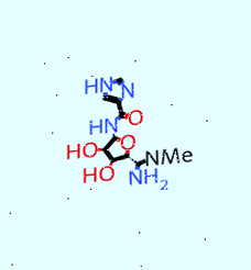 CNC(N)[C@H]1O[C@@H](NC(=O)c2c[nH]cn2)[C@H](O)[C@@H]1O